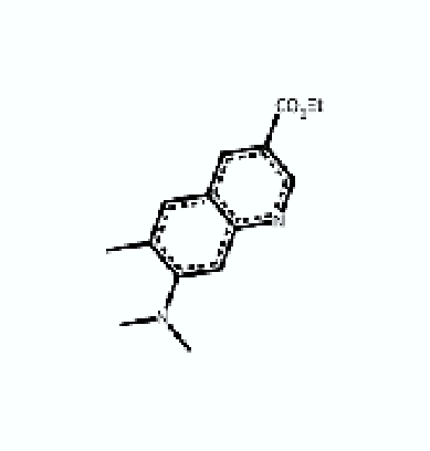 CCOC(=O)c1cnc2cc(N(C)C)c(C)cc2c1